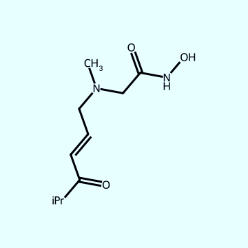 CC(C)C(=O)/C=C/CN(C)CC(=O)NO